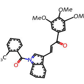 COc1cc(C(=O)/C=C/c2cn(C(=O)c3ccccc3C)c3ccccc23)cc(OC)c1OC